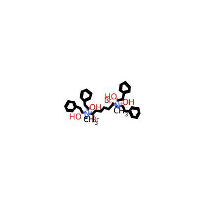 C[N+](C(O)Cc1ccccc1)(C(O)Cc1ccccc1)C(Br)CCCCC(Br)[N+](C)(C(O)Cc1ccccc1)C(O)Cc1ccccc1